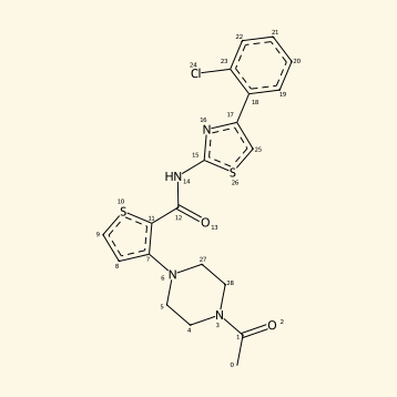 CC(=O)N1CCN(c2ccsc2C(=O)Nc2nc(-c3ccccc3Cl)cs2)CC1